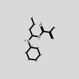 C=C(C)C(=O)OC(CCC)OC1CCCCC1